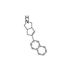 C1=C(c2ccc3ccccc3c2)CC2CNCC12